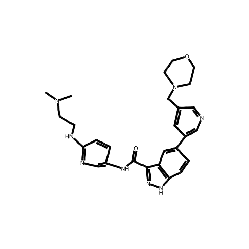 CN(C)CCNc1ccc(NC(=O)c2n[nH]c3ccc(-c4cncc(CN5CCOCC5)c4)cc23)cn1